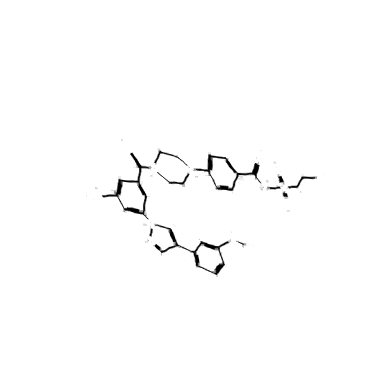 CCOc1cccc(-c2cnn(-c3cc(C(=O)N4CCN(c5ccc(C(=O)NS(=O)(=O)CCC(F)(F)F)cc5)CC4)cc(C(F)(F)F)c3)c2)c1